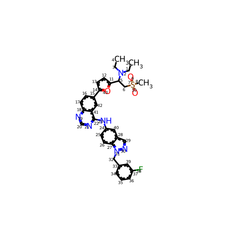 CCN(CC)C(CS(C)(=O)=O)c1ccc(-c2ccc3ncnc(Nc4ccc5c(cnn5Cc5cccc(F)c5)c4)c3c2)o1